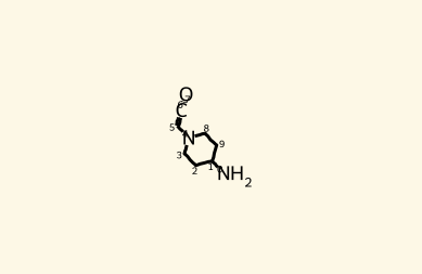 NC1CCN(C=C=O)CC1